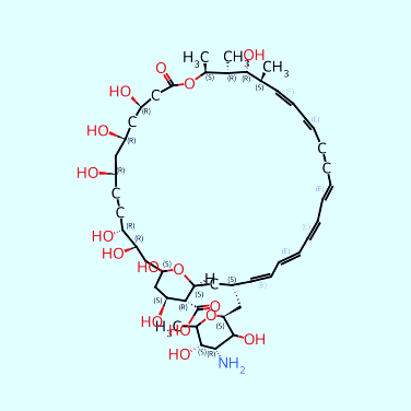 CC1O[C@@H](C[C@H]2/C=C/C=C/C=C/C=C/CC/C=C/C=C/[C@H](C)[C@@H](O)[C@@H](C)[C@H](C)OC(=O)C[C@H](O)C[C@H](O)C[C@H](O)CC[C@@H](O)[C@H](O)C[C@]3(O)C[C@H](O)[C@@H](C(=O)O)[C@H](C2)O3)C(O)[C@H](N)[C@@H]1O